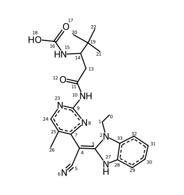 CCN1C(=C(C#N)c2nc(NC(=O)CC(NC(=O)O)C(C)(C)C)ncc2C)Nc2ccccc21